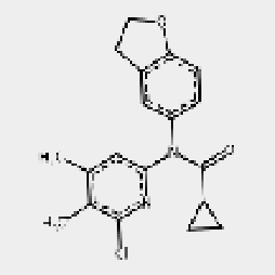 Cc1cc(N(C(=O)C2CC2)c2ccc3c(c2)CCO3)nc(Cl)c1C